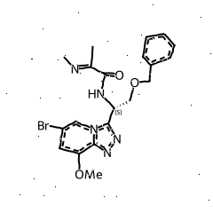 CN=C(C)C(=O)N[C@H](COCc1ccccc1)c1nnc2c(OC)cc(Br)cn12